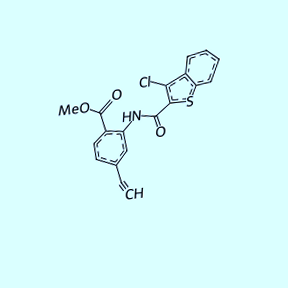 C#Cc1ccc(C(=O)OC)c(NC(=O)c2sc3ccccc3c2Cl)c1